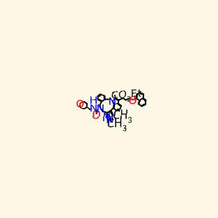 CCOC(=O)c1c(CCCOc2cccc3ccccc23)c2cccc3c2n1Cc1ccccc1CN(C(=O)NCC1CCOCC1)Cc1nn(C)c(C)c1-3